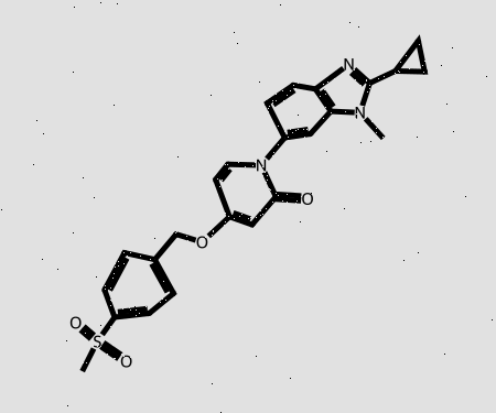 Cn1c(C2CC2)nc2ccc(-n3ccc(OCc4ccc(S(C)(=O)=O)cc4)cc3=O)cc21